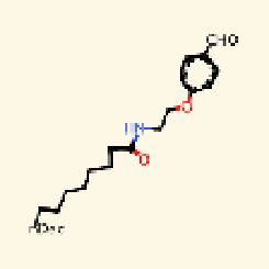 CCCCCCCCCCCCCCCCCC(=O)NCCOc1ccc(C=O)cc1